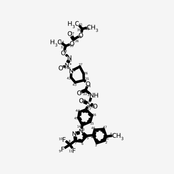 Cc1ccc(-c2cc(C(F)(F)F)nn2-c2ccc(S(=O)(=O)NC(=O)OC3CCN([N+]([O-])=NOC(C)OC(=O)OC(C)C)CC3)cc2)cc1